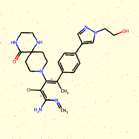 C=N/C(N)=C(Cl)\C(=C(/C)c1ccc(-c2cnn(CCO)c2)cc1)N1CCC2(CC1)NCCNC2=O